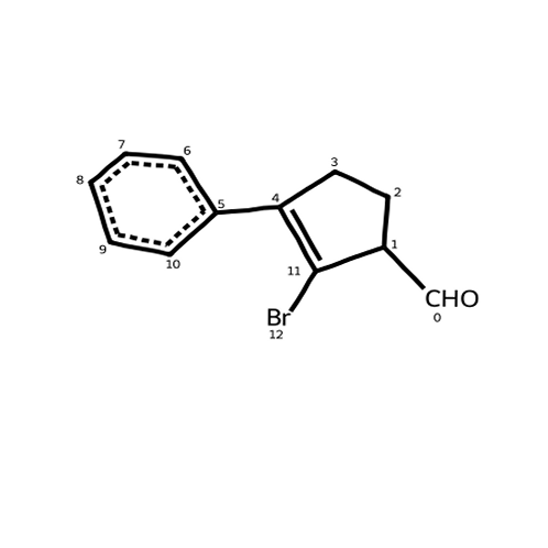 O=CC1CCC(c2ccccc2)=C1Br